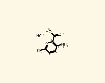 Cl.Nc1ccc(Cl)nc1C(=O)O